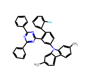 Cc1ccc2c3ccc(C)cc3n(-c3ccc(-c4ccccc4F)c(-c4nc(-c5ccccc5)nc(-c5ccccc5)n4)c3)c2c1